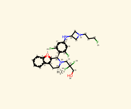 C[C@@H]1Cc2c(oc3ccccc23)[C@@H](c2c(F)cc(NC3CN(CCCF)C3)cc2F)N1CC(F)(F)CO